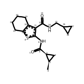 C[C@@H]1C[C@@H]1C(=O)Nc1sc2c(c1C(=O)NCC1CC1)CCCC2